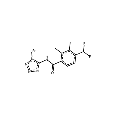 CCCn1nnnc1NC(=O)c1ccc(C(F)F)c(C)c1C